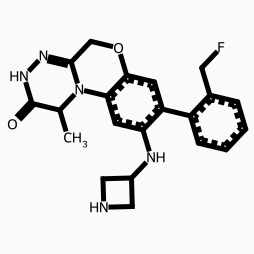 CC1C(=O)NN=C2COc3cc(-c4ccccc4CF)c(NC4CNC4)cc3N21